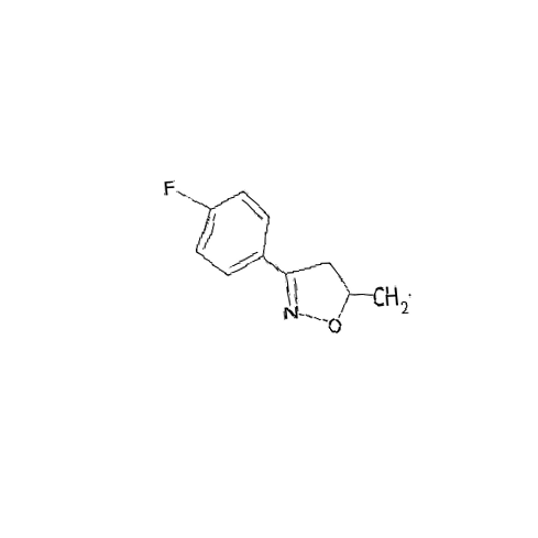 [CH2]C1CC(c2ccc(F)cc2)=NO1